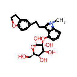 Cn1cc(CCc2ccc3c(c2)CCO3)c2c(O[C@]3(O)[C@@H](O)O[C@H](CO)[C@@H](O)[C@@H]3O)cccc21